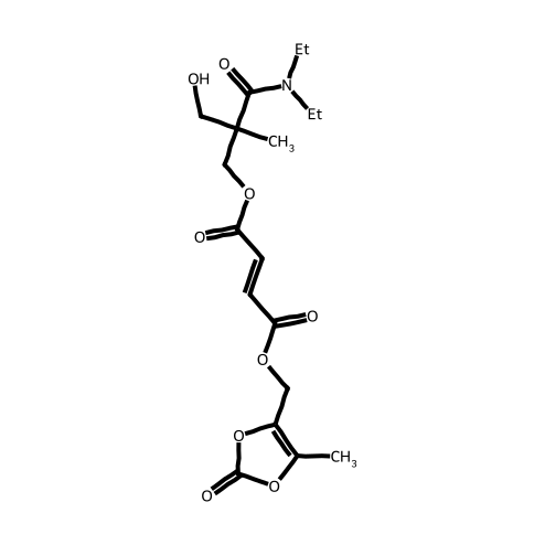 CCN(CC)C(=O)C(C)(CO)COC(=O)/C=C/C(=O)OCc1oc(=O)oc1C